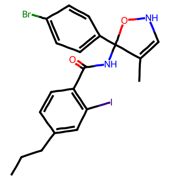 CCCc1ccc(C(=O)NC2(c3ccc(Br)cc3)ONC=C2C)c(I)c1